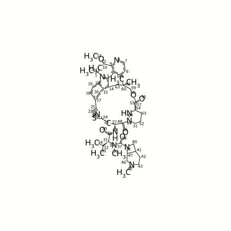 CCn1c(-c2cccnc2[C@H](C)OC)c2c3cc(ccc31)-c1csc(n1)C[C@H](NC(=O)[C@H](C(C)C)N(C)C(=O)N1CC3CCN(C)CC31)C(=O)N1CCCC(C=O)(COCC(C)(C)C2)N1